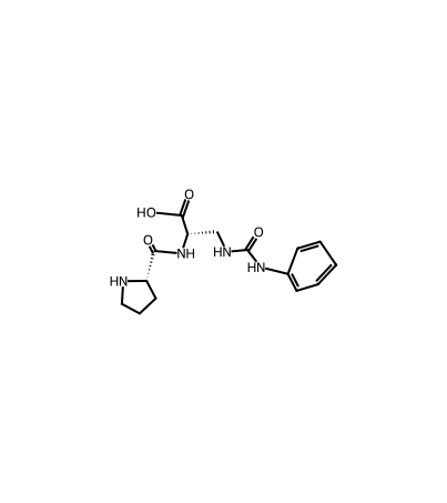 O=C(NC[C@H](NC(=O)[C@@H]1CCCN1)C(=O)O)Nc1ccccc1